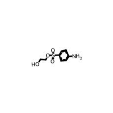 Nc1ccc(S(=O)(=O)OCCO)cc1